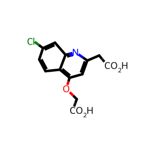 O=C(O)COc1cc(CC(=O)O)nc2cc(Cl)ccc12